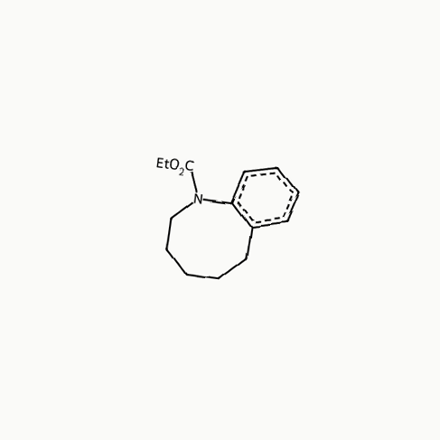 CCOC(=O)N1CCCCCc2ccccc21